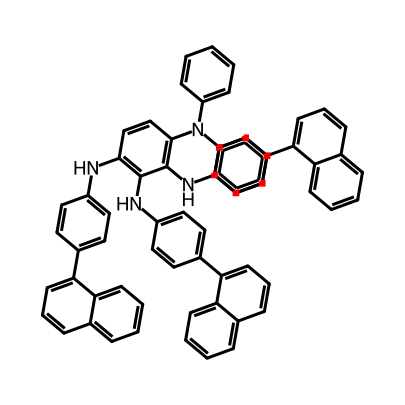 c1ccc(N(c2ccccc2)c2ccc(Nc3ccc(-c4cccc5ccccc45)cc3)c(Nc3ccc(-c4cccc5ccccc45)cc3)c2Nc2ccc(-c3cccc4ccccc34)cc2)cc1